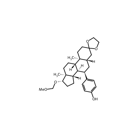 COCO[C@H]1CC[C@H]2[C@@H]3[C@H](c4ccc(O)cc4)C[C@H]4CC5(CC[C@]4(C)[C@H]3CC[C@]12C)OCCO5